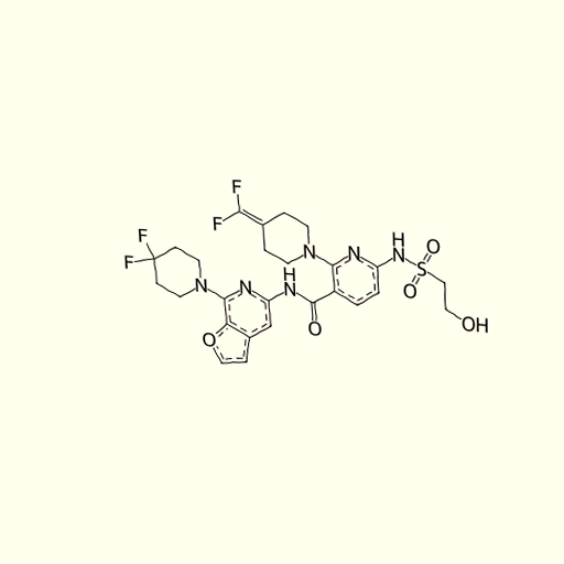 O=C(Nc1cc2ccoc2c(N2CCC(F)(F)CC2)n1)c1ccc(NS(=O)(=O)CCO)nc1N1CCC(=C(F)F)CC1